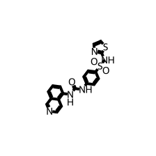 O=C(Nc1ccc(S(=O)(=O)Nc2nccs2)cc1)Nc1cccc2cnccc12